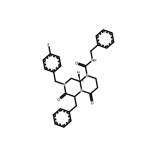 O=C1C(Cc2ccccc2)N2C(=O)CCN(C(=O)NCc3ccccc3)[C@H]2CN1Cc1ccc(F)cc1